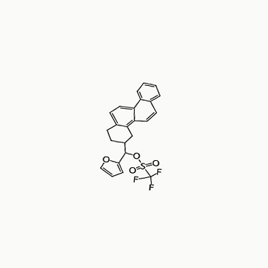 O=S(=O)(OC(c1ccco1)C1CCc2ccc3c(ccc4ccccc43)c2C1)C(F)(F)F